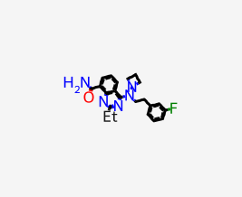 CCc1nc(N(CCc2cccc(F)c2)N2CCC2)c2cccc(C(N)=O)c2n1